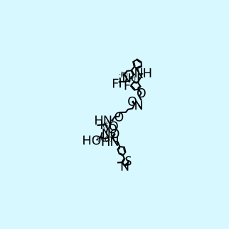 Cc1ncsc1-c1ccc(CNC(=O)[C@@H]2C[C@@H](O)CN2C(=O)[C@@H](NC(=O)COCCCCC(=O)N(C)CCOc2cc(F)c([C@@H]3c4[nH]c5ccccc5c4C[C@@H](C)N3CC(C)(C)F)c(F)c2)C(C)(C)C)cc1